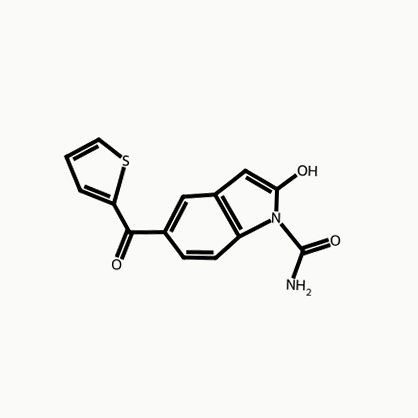 NC(=O)n1c(O)cc2cc(C(=O)c3cccs3)ccc21